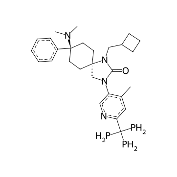 Cc1cc(C(P)(P)P)ncc1N1C[C@]2(CC[C@](c3ccccc3)(N(C)C)CC2)N(CC2CCC2)C1=O